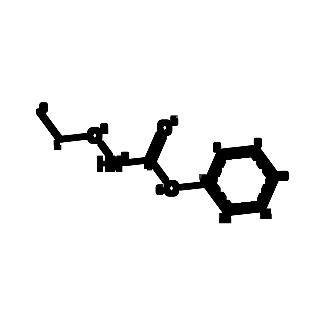 CCONC(=O)Oc1ccccc1